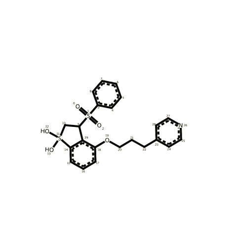 O=S(=O)(c1ccccc1)C1CS(O)(O)c2cccc(OCCCc3ccncc3)c21